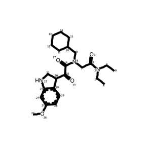 CCN(CC)C(=O)CN(CC1CCCCC1)C(=O)C(=O)C1CNc2cc(OC)ccc21